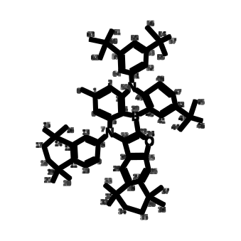 Cc1cc2c3c(c1)N(c1ccc4c(c1)C(C)(C)CCC4(C)C)c1c(oc4cc5c(cc14)C(C)(C)CCC5(C)C)B3c1cc(C(C)(C)C)ccc1N2c1cc(C(C)(C)C)cc(C(C)(C)C)c1